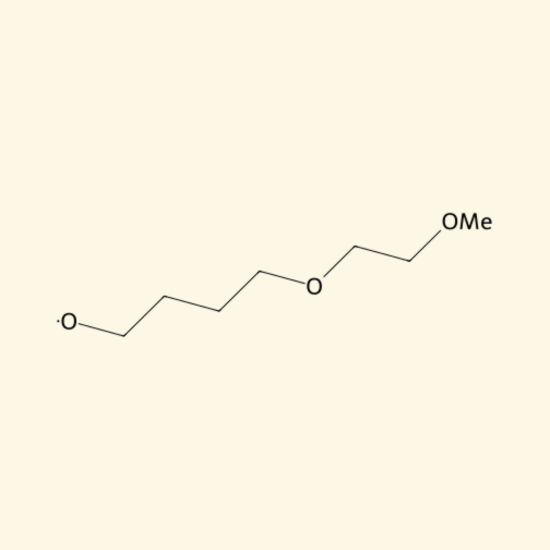 COCCOCCCC[O]